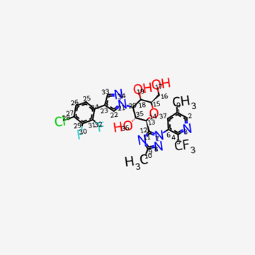 Cc1cnc(C(F)(F)F)c(-n2nc(C)nc2[C@@H]2O[C@H](CO)[C@H](O)[C@H](n3cc(-c4ccc(Cl)c(F)c4F)cn3)[C@H]2O)c1